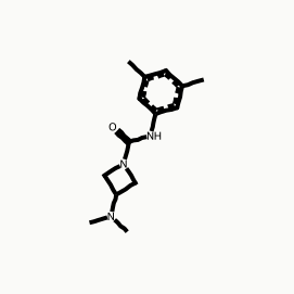 Cc1cc(C)cc(NC(=O)N2CC(N(C)C)C2)c1